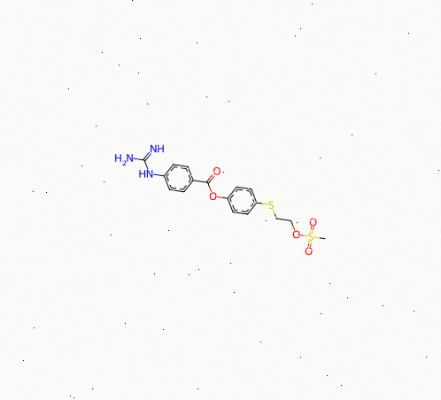 CS(=O)(=O)OCCSc1ccc(OC(=O)c2ccc(NC(=N)N)cc2)cc1